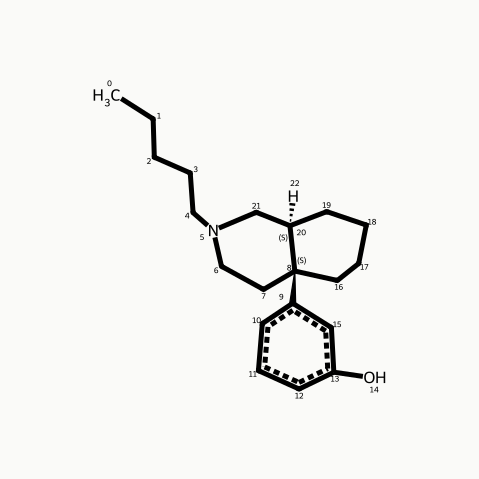 CCCCCN1CC[C@@]2(c3cccc(O)c3)CCCC[C@@H]2C1